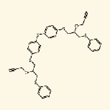 C#CCOC(CSc1ccccc1)CSc1ccc(Sc2ccc(SCC(CSc3ccccc3)OCC#C)cc2)cc1